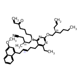 C=CC[C@@H](CCCC)COc1nc(CC)c(CC/C=C/Cc2cc(OC)cc3ccccc23)c(N(CCCCC(=O)C=C)C[C@@H](C)CC#N)n1